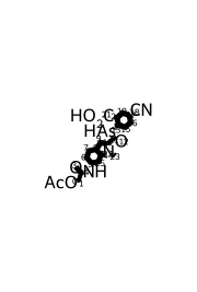 CC(=O)OCC(=O)Nc1ccc2cc(C(=O)[AsH]c3ccc(C#N)cc3C(=O)O)n(C)c2c1